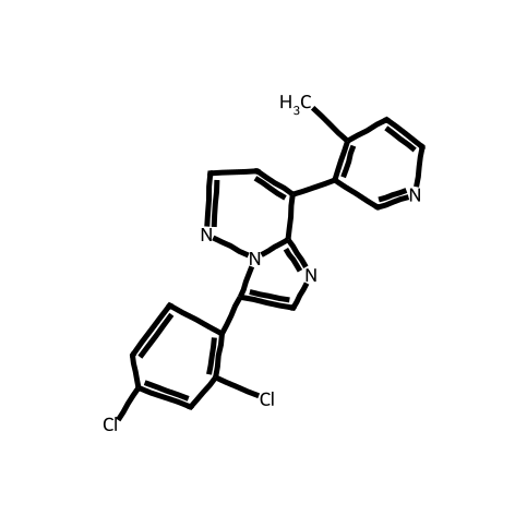 Cc1ccncc1-c1ccnn2c(-c3ccc(Cl)cc3Cl)cnc12